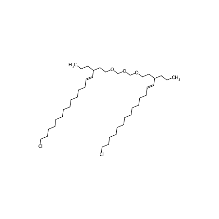 CCCC(C=CCCCCCCCCCCCCCl)CCOCOCOCCC(C=CCCCCCCCCCCCCCl)CCC